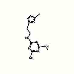 CNc1nc(N)nc(NCCc2ccc(C)s2)n1